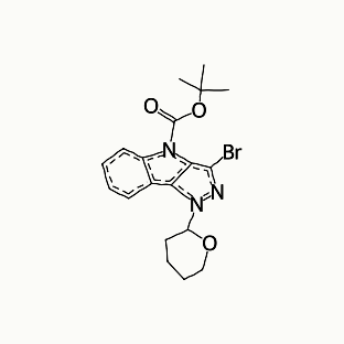 CC(C)(C)OC(=O)n1c2ccccc2c2c1c(Br)nn2C1CCCCO1